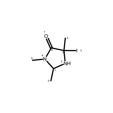 CC1NC(C)(I)C(=O)N1C